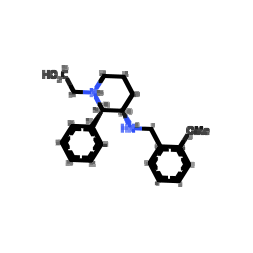 COc1ccccc1CN[C@@H]1CCCN(CC(=O)O)[C@@H]1c1ccccc1